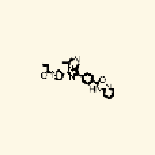 C=CC(=O)N1CC[C@@H](c2nc(-c3ccc(C(=O)Nc4ccccn4)cc3)c3cncc(C)n23)C1